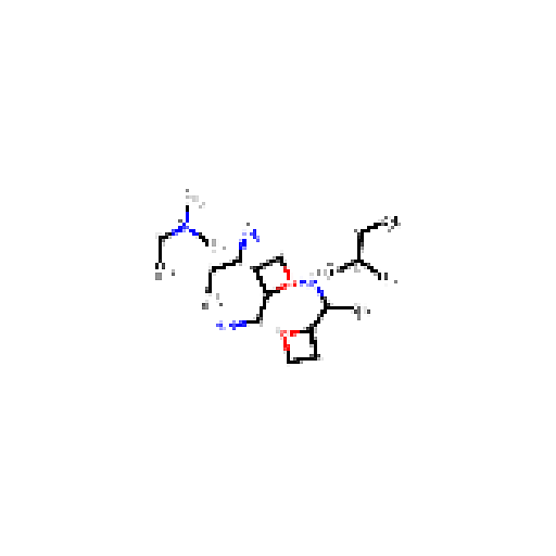 C[C](N)C1CCO1.N[CH]C1CCO1.[CH2]C(C)CC.[CH2]CCN.[CH2]CN(C)C